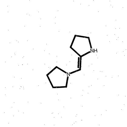 C(=C1/CCCN1)/N1CCCC1